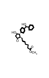 COC(=O)CCCC=CC[C@@H]1[C@@H](c2ccc(C(O)c3ccccc3)cc2)[C@H](O)C[C@H]1Cl